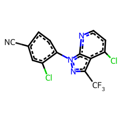 N#Cc1ccc(-n2nc(C(F)(F)F)c3c(Cl)ccnc32)c(Cl)c1